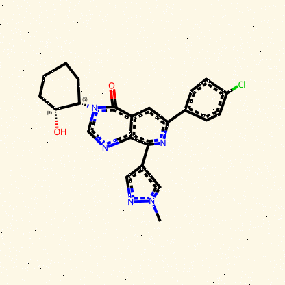 Cn1cc(-c2nc(-c3ccc(Cl)cc3)cc3c(=O)n([C@H]4CCCC[C@H]4O)cnc23)cn1